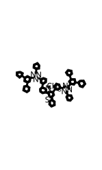 Cn1c2c(-c3cccc(-c4nc(-c5ccccc5)nc(-c5cc(-c6ccccc6)cc(-c6ccccc6)c5)n4)c3)cccc2c2c3sc4ccccc4c3cc(-c3cccc(-c4nc(-c5ccccc5)nc(-c5cc(-c6ccccc6)cc(-c6ccccc6)c5)n4)c3)c21